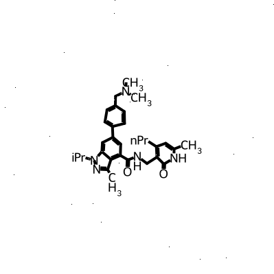 CCCc1cc(C)[nH]c(=O)c1CNC(=O)c1cc(-c2ccc(CN(C)C)cc2)cc2c1c(C)nn2C(C)C